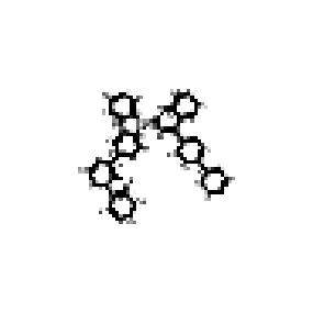 C1=CCCC(C2=CC=C(c3cc(-n4c5ccccc5c5cc(C6=C7OC8=C(C=CCC8)C7CC=C6)ccc54)nc4c3=CCCC=4)CC2)=C1